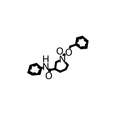 O=C(Nc1ccccc1)C1CCCN(C(=O)OCc2ccccc2)C1